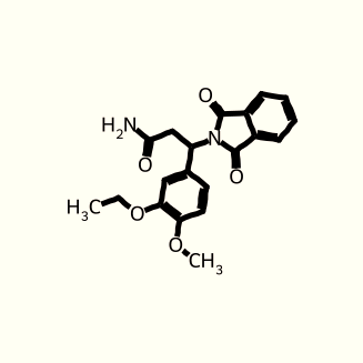 CCOc1cc(C(CC(N)=O)N2C(=O)c3ccccc3C2=O)ccc1OC